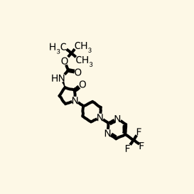 CC(C)(C)OC(=O)N[C@@H]1CCN(C2CCN(c3ncc(C(F)(F)F)cn3)CC2)C1=O